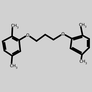 Cc1ccc(C)c(OCCCOc2cc(C)ccc2C)c1